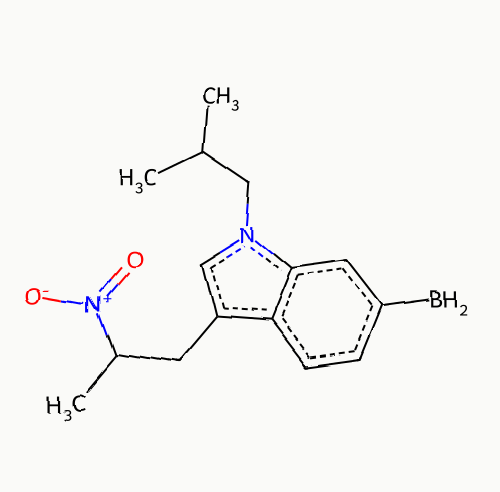 Bc1ccc2c(CC(C)[N+](=O)[O-])cn(CC(C)C)c2c1